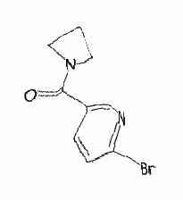 O=C(c1ccc(Br)nc1)N1CCC1